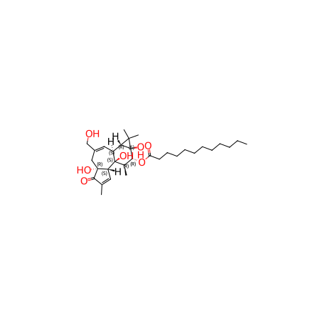 CCCCCCCCCCCC(=O)O[C@@H]1[C@@H](C)[C@@]2(O)[C@@H](C=C(CO)C[C@]3(O)C(=O)C(C)=C[C@@H]23)[C@@H]2C(C)(C)[C@]12O